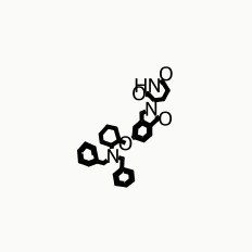 O=C1CCC(N2Cc3cc(OC4CCCCC4N(Cc4ccccc4)Cc4ccccc4)ccc3C2=O)C(=O)N1